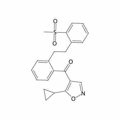 CS(=O)(=O)c1ccccc1CCc1ccccc1C(=O)c1cnoc1C1CC1